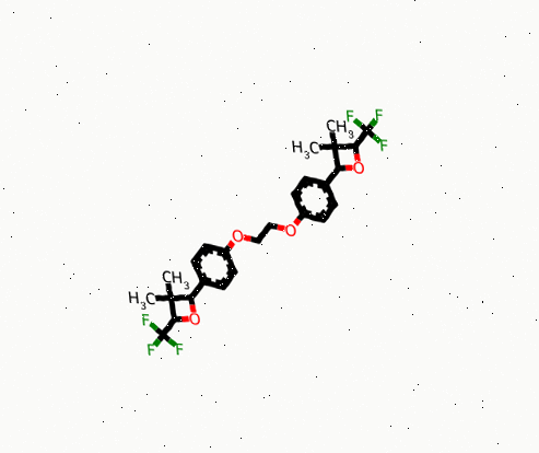 CC1(C)C(c2ccc(OCCOc3ccc(C4OC(C(F)(F)F)C4(C)C)cc3)cc2)OC1C(F)(F)F